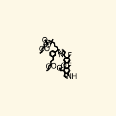 CCOC(=O)CCc1cccc(C(CCCC(C)(C)CS(=O)(=O)CC(=O)OCC)n2ccc(-c3cc(Oc4c(F)cc5[nH]ccc5c4C=O)ccc3F)n2)c1